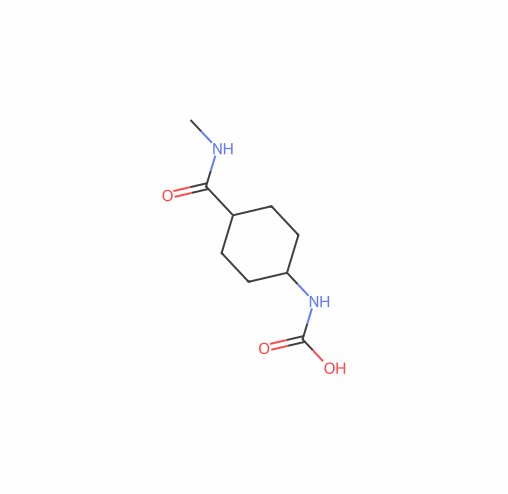 CNC(=O)C1CCC(NC(=O)O)CC1